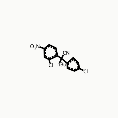 CCCCC(C#N)(c1ccc(Cl)cc1)c1ccc([N+](=O)[O-])cc1Cl